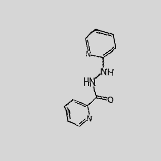 O=C(NNc1ccccn1)c1ccccn1